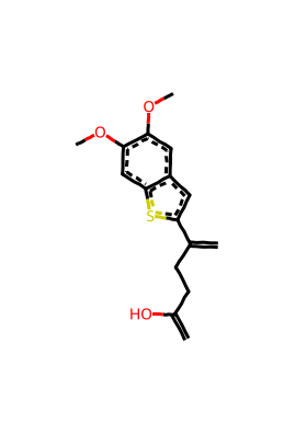 C=C(O)CCC(=C)c1cc2cc(OC)c(OC)cc2s1